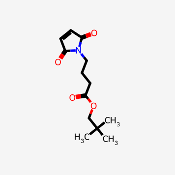 CC(C)(C)COC(=O)CCCN1C(=O)C=CC1=O